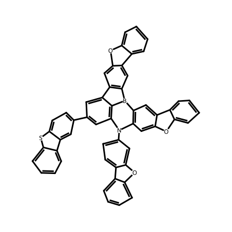 c1ccc2c(c1)oc1cc(N3c4cc5oc6ccccc6c5cc4B4c5cc6c(cc5-c5cc(-c7ccc8sc9ccccc9c8c7)cc3c54)oc3ccccc36)ccc12